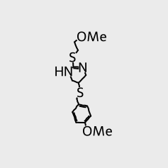 COCCSC1=NCC(SCc2ccc(OC)cc2)CN1